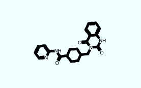 O=C(Nc1ccccn1)C1CCC(Cn2c(=O)[nH]c3ccccc3c2=O)CC1